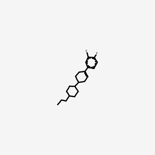 CCCC1CCC(C2CC=C(c3ccc(F)c(F)c3)CC2)CC1